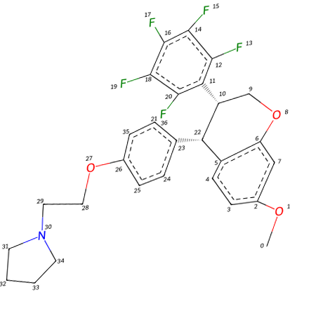 COc1ccc2c(c1)OC[C@@H](c1c(F)c(F)c(F)c(F)c1F)[C@H]2c1ccc(OCCN2CCCC2)cc1